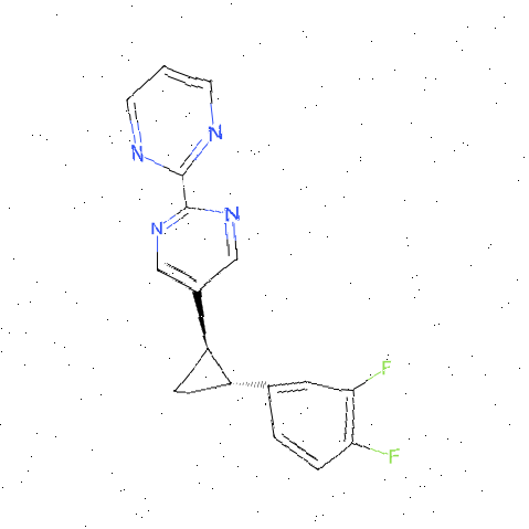 Fc1ccc([C@@H]2C[C@H]2c2cnc(-c3ncccn3)nc2)cc1F